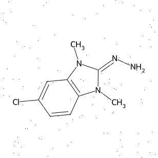 Cn1c(=NN)n(C)c2cc(Cl)ccc21